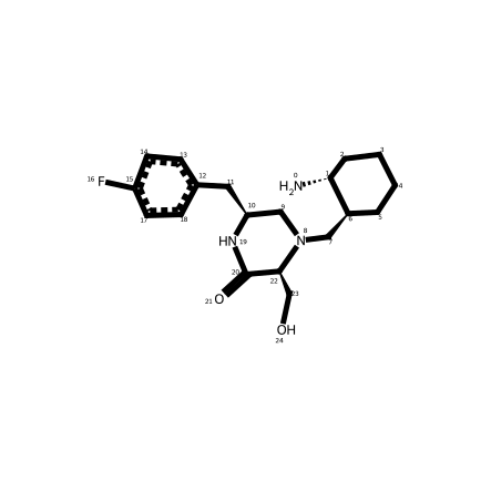 N[C@@H]1CCCC[C@H]1CN1C[C@H](Cc2ccc(F)cc2)NC(=O)[C@@H]1CO